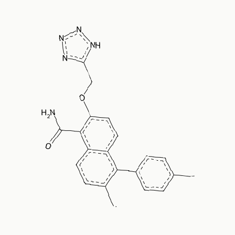 [CH2]c1ccc2c(C(N)=O)c(OCc3nnn[nH]3)ccc2c1-c1ccc(C)cc1